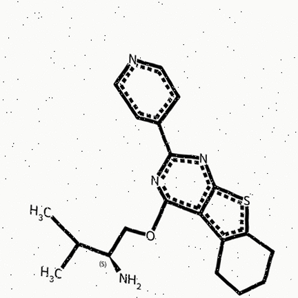 CC(C)[C@H](N)COc1nc(-c2ccncc2)nc2sc3c(c12)CCCC3